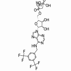 O=P(O)(O)CP(=O)(O)OC[C@H]1O[C@@H](n2cnc3c(NCc4cc(C(F)(F)F)cc(C(F)(F)F)c4)ncnc32)[C@H](O)[C@@H]1O